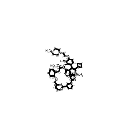 Cc1c(-c2c(C3CCC3)ncc3snc(OC(Cc4ccccc4OCc4ccnc(-c5cccc(-c6ccn(C)n6)c5)n4)C(=O)O)c23)ccc(OCCN2CCN(C)CC2)c1Cl